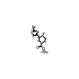 CN1CCN(C(=O)OC(C)(C)C)CC1c1csc(Br)n1